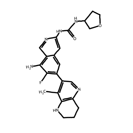 Cc1c(-c2cc3cc(NC(=O)NC4CCOC4)ncc3c(N)c2F)cnc2c1NCCC2